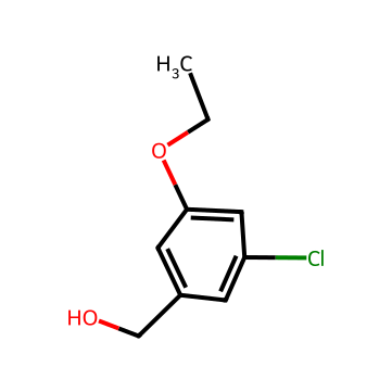 CCOc1cc(Cl)cc(CO)c1